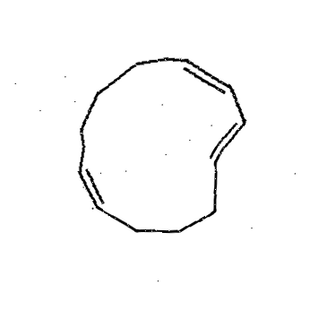 [C]1=C\CCC/C=C\C=C\CCC/1